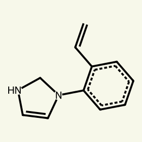 C=Cc1ccccc1N1C=CNC1